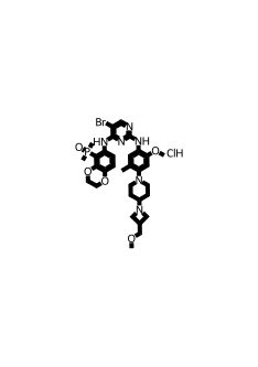 COCC1CN(C2CCN(c3cc(OC)c(Nc4ncc(Br)c(Nc5ccc6c(c5P(C)(C)=O)OCCO6)n4)cc3C)CC2)C1.Cl